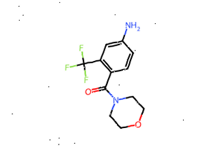 Nc1ccc(C(=O)N2CCOCC2)c(C(F)(F)F)c1